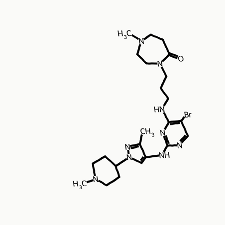 Cc1nn(C2CCN(C)CC2)cc1Nc1ncc(Br)c(NCCCN2CCN(C)CCC2=O)n1